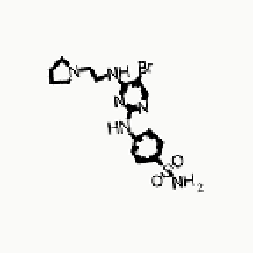 NS(=O)(=O)c1ccc(Nc2ncc(Br)c(NCCN3CCCC3)n2)cc1